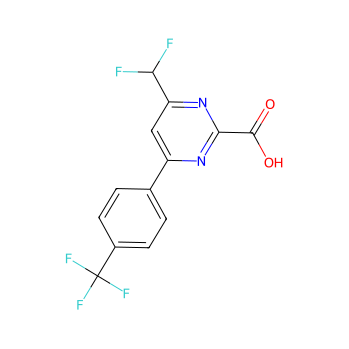 O=C(O)c1nc(-c2ccc(C(F)(F)F)cc2)cc(C(F)F)n1